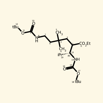 CCOC(=O)C(CC(C)(C)CCNC(=O)OC(C)(C)C)[C@H](NC(=O)OC(C)(C)C)C(C)C